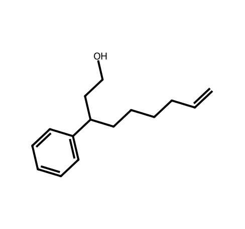 C=CCCCCC(CCO)c1ccccc1